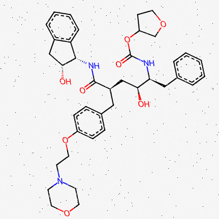 O=C(N[C@@H](Cc1ccccc1)[C@@H](O)C[C@@H](Cc1ccc(OCCN2CCOCC2)cc1)C(=O)N[C@H]1c2ccccc2C[C@H]1O)OC1CCOC1